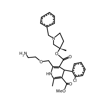 COC(=O)C1=C(C)NC(COCCN)=C(C(=O)O[C@@]2(C)CCN(Cc3ccccc3)C2)C1c1ccccc1Cl